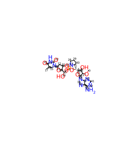 COC1[C@@H](O)[C@@H](COP(=O)(O[C@@H]2C[C@H](n3cc(C)c(=O)[nH]c3=O)O[C@@H]2CO)N2CCCC2)O[C@H]1n1cnc2c(N)ncnc21